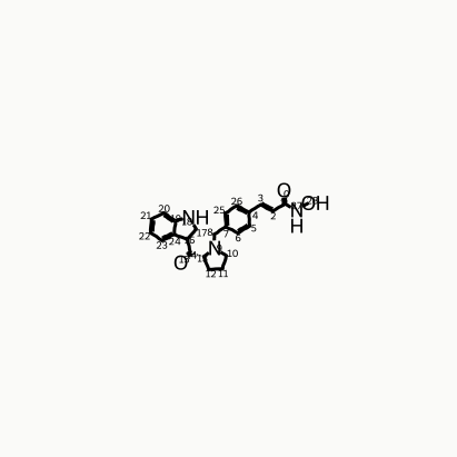 O=C(/C=C/c1ccc(CN2CCC[C@@H]2C(=O)C2CNc3ccccc32)cc1)NO